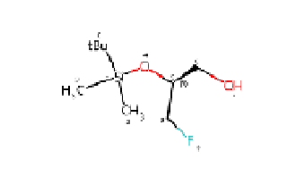 CC(C)(C)[Si](C)(C)O[C@@H](CO)CF